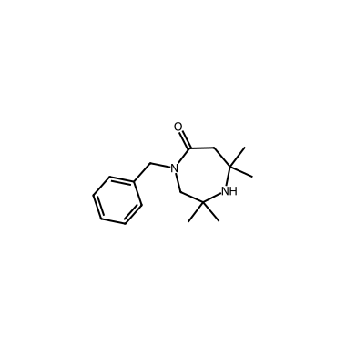 CC1(C)CC(=O)N(Cc2ccccc2)CC(C)(C)N1